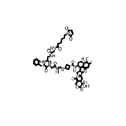 CC[C@@]1(O)C(=O)OCc2c1cc1n(c2=O)Cc2c-1nc1cc(F)c(C)c3c1c2[C@@H](NC(=O)[C@H]1C[C@@H](OCNC(=O)CNC(=O)[C@H](Cc2ccccc2)NC(=O)CNC(=O)CNC(=O)CCCCCN2C(=O)C=CC2=O)C1)CC3